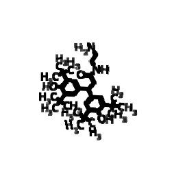 CC(C)(C)c1cc(C(CC(=O)NCCN)c2cc(C(C)(C)C)c(O)c(C(C)(C)C)c2)cc(C(C)(C)C)c1O